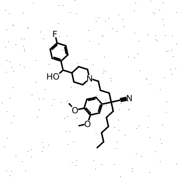 CCCCCCC(C#N)(CCCN1CCC(C(O)c2ccc(F)cc2)CC1)c1ccc(OC)c(OC)c1